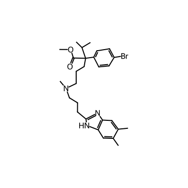 COC(=O)C(CCCN(C)CCCc1nc2cc(C)c(C)cc2[nH]1)(c1ccc(Br)cc1)C(C)C